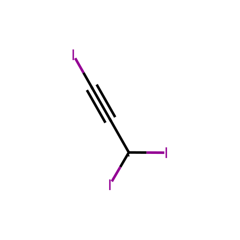 IC#C[C](I)I